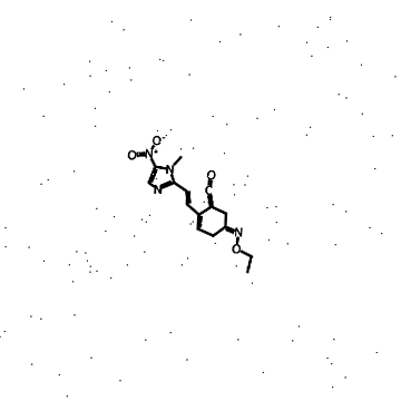 CCON=C1CC=C(C=Cc2ncc([N+](=O)[O-])n2C)C(=C=O)C1